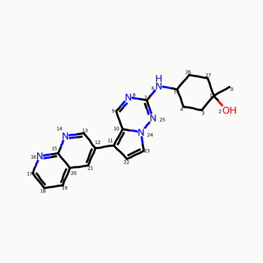 CC1(O)CCC(Nc2ncc3c(-c4cnc5ncccc5c4)ccn3n2)CC1